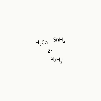 [CaH2].[PbH2].[SnH4].[Zr]